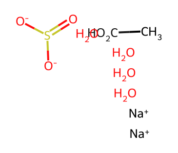 CC(=O)O.O.O.O.O.O=S([O-])[O-].[Na+].[Na+]